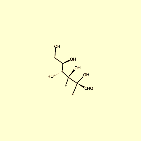 O=C[C@@](O)(F)[C@](O)(F)[C@H](O)[C@H](O)CO